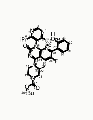 CC(C)c1ncnc(C(C)C)c1-n1c(=O)nc(N2CCN(C(=O)OC(C)(C)C)C[C@@H]2C)c2cc(F)c(-c3ccccc3O)[n+]([O-])c21